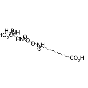 O=C(O)CCCCCCCCCCCCCCCCC(=O)NCCOCCOCC(=O)NCCCC[C@H](NP)C(=O)O